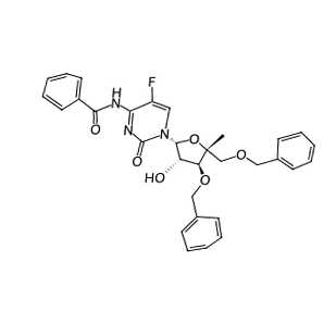 C[C@]1(COCc2ccccc2)O[C@@H](n2cc(F)c(NC(=O)c3ccccc3)nc2=O)[C@@H](O)[C@@H]1OCc1ccccc1